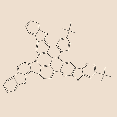 CC(C)(C)c1ccc(N2B3c4cc5oc6ccccc6c5cc4-n4c5ccc6c7ccccc7oc6c5c5ccc(c3c54)-c3cc4oc5cc(C(C)(C)C)ccc5c4cc32)cc1